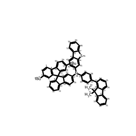 CC(C)(C)c1ccc2c(c1)C1(c3ccccc3-c3ccc(N(c4ccc(-c5cccc6c5C(C)(C)c5ccccc5-6)cc4)c4ccc5c(c4)sc4ccccc45)cc31)c1cc(C(C)(C)C)ccc1-2